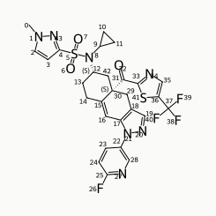 Cn1ccc(S(=O)(=O)N(C2CC2)[C@H]2CCC3=Cc4c(cnn4-c4ccc(F)nc4)C[C@]3(C(=O)c3ncc(C(F)(F)F)s3)C2)n1